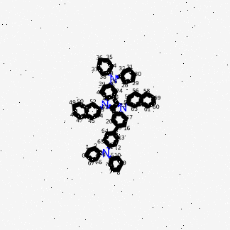 c1ccc(N(c2ccccc2)c2ccc(-c3ccc4c(c3)c3c(c5cc(N(c6ccccc6)c6ccccc6)ccc5n3-c3ccc5ccccc5c3)n4-c3ccc4ccccc4c3)cc2)cc1